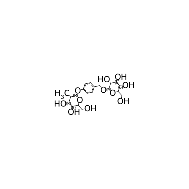 CC1[C@@H](Oc2ccc(CO[C@@H]3OC(CO)[C@@H](O)[C@H](O)C3O)cc2)OC(CO)[C@@H](O)[C@@H]1O